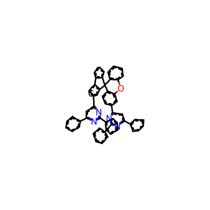 c1ccc(-c2cc(-c3ccc4c(c3)Oc3ccccc3C43c4ccccc4-c4ccc(-c5cc(-c6ccccc6)nc(-c6ccccc6)n5)cc43)nc(-c3ccccc3)n2)cc1